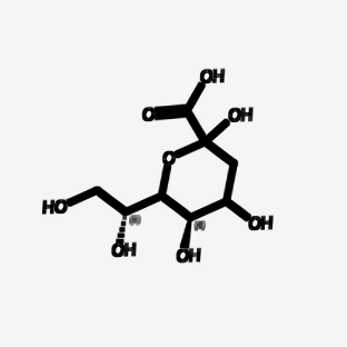 O=C(O)C1(O)CC(O)[C@@H](O)C([C@H](O)CO)O1